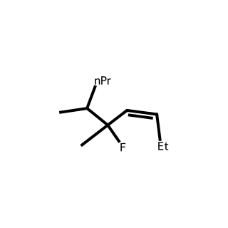 CC/C=C\C(C)(F)C(C)CCC